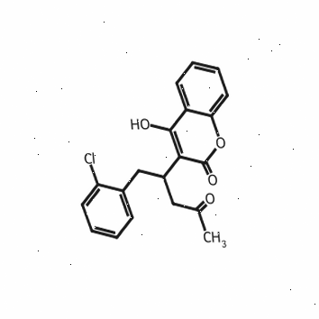 CC(=O)CC(Cc1ccccc1Cl)c1c(O)c2ccccc2oc1=O